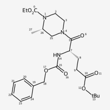 CCOC(=O)N1CCN(C(=O)[C@H](CCC(=O)OC(C)(C)C)NC(=O)OCc2ccccc2)C[C@@H]1C